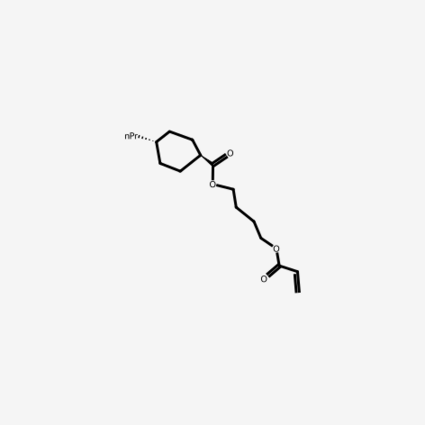 C=CC(=O)OCCCCOC(=O)[C@H]1CC[C@H](CCC)CC1